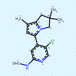 Cc1cc(-c2cc(NC=O)ncc2Cl)n2c1CC(C)(C)C2